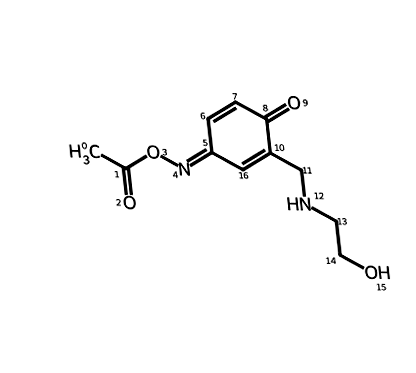 CC(=O)ON=C1C=CC(=O)C(CNCCO)=C1